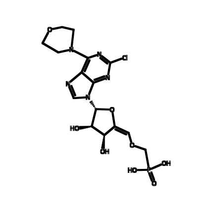 O=P(O)(O)COC=C1O[C@@H](n2cnc3c(N4CCOCC4)nc(Cl)nc32)[C@H](O)[C@@H]1O